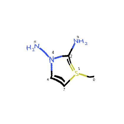 CS1=C(N)N(N)C=C1